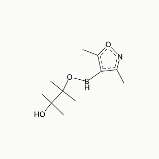 Cc1noc(C)c1BOC(C)(C)C(C)(C)O